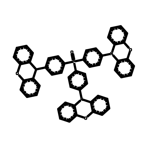 O=P(c1ccc(C2c3ccccc3Oc3ccccc32)cc1)(c1ccc(N2c3ccccc3Oc3ccccc32)cc1)c1ccc(N2c3ccccc3Oc3ccccc32)cc1